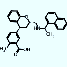 Cc1ccc([C@@H]2C[C@@H](CN[C@H](C)c3cccc4ccccc34)Oc3ccccc32)cc1C(=O)O